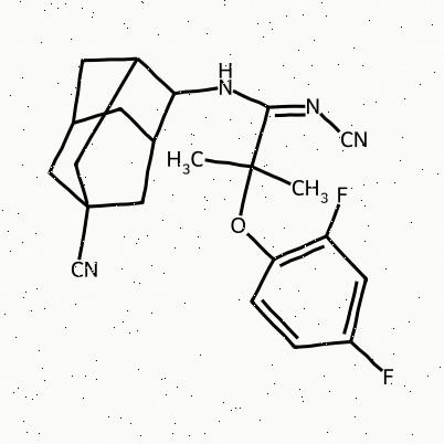 CC(C)(Oc1ccc(F)cc1F)/C(=N\C#N)NC1C2CC3CC1CC(C#N)(C3)C2